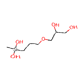 C[Si](O)(O)CCCOCC(O)CO